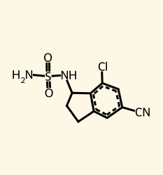 N#Cc1cc(Cl)c2c(c1)CCC2NS(N)(=O)=O